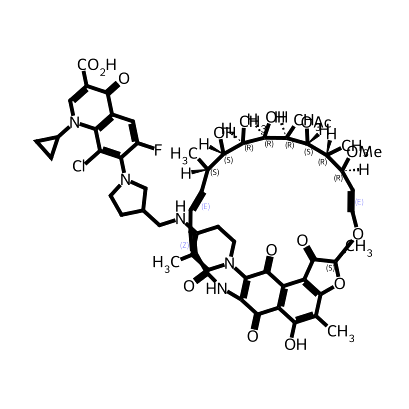 CO[C@H]1/C=C/O[C@@]2(C)Oc3c(C)c(O)c4c(c3C2=O)C(=O)C(N2CCC(NCC3CCN(c5c(F)cc6c(=O)c(C(=O)O)cn(C7CC7)c6c5Cl)C3)CC2)=C(NC(=O)/C(C)=C\C=C\[C@H](C)[C@H](O)[C@@H](C)[C@@H](O)[C@@H](C)[C@H](OC(C)=O)[C@@H]1C)C4=O